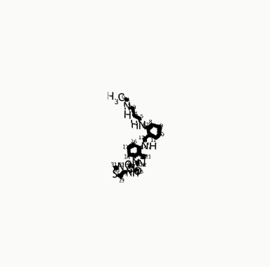 CCNCCCNc1ccccc1CNc1cccc2c1cnn2S(=O)(=O)Nc1cscn1